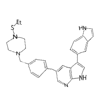 CCSN1CCN(Cc2ccc(-c3cnc4[nH]cc(-c5ccc6[nH]ccc6c5)c4c3)cc2)CC1